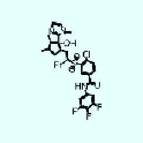 CC[C@@H](CC1CC(C)[C@@H](C)[C@@]1(O)c1nccn1C)S(=O)(=O)c1cc(C(=O)Nc2cc(F)c(F)c(F)c2)ccc1Cl